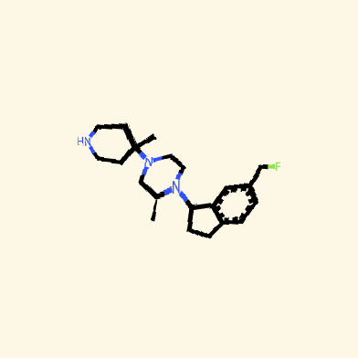 C[C@H]1CN(C2(C)CCNCC2)CCN1C1CCc2ccc(CF)cc21